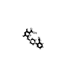 Cc1cc(C)c(C(=O)O)nc1CN1CCN(c2ccccc2C#N)CC1